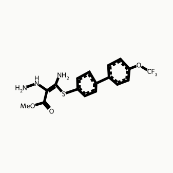 COC(=O)/C(NN)=C(/N)Sc1ccc(-c2ccc(OC(F)(F)F)cc2)cc1